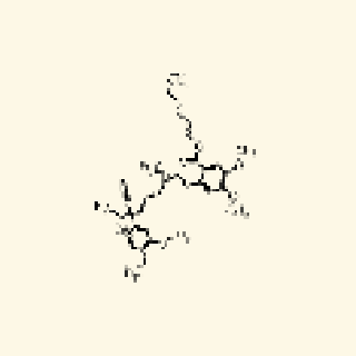 CCCCCCOC(=O)c1cc(OC)c(OC)cc1CCN(C)CCCC(C#N)(c1ccc(OC)c(OC)c1)C(C)C